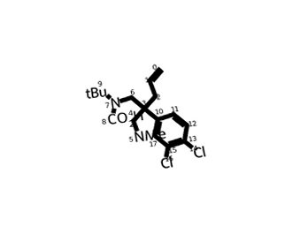 C=CCC(CNC)(CN(C(=O)O)C(C)(C)C)c1ccc(Cl)c(Cl)c1